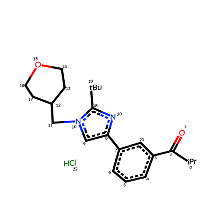 CC(C)C(=O)c1cccc(-c2cn(CC3CCOCC3)c(C(C)(C)C)n2)c1.Cl